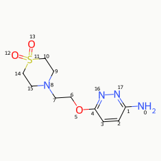 Nc1ccc(OCCN2CCS(=O)(=O)CC2)nn1